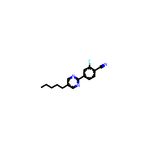 CCCCCc1cnc(-c2ccc(C#N)c(F)c2)nc1